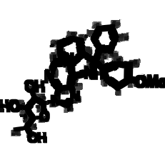 COc1ccc(C(Nc2ncnc3c2ncn3[C@@H]2O[C@H]([C@H](C)O)[C@@H](O)[C@H]2O)(c2ccccc2)c2ccccc2)cc1